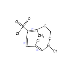 CCN1/C=C(Cl)/C=C\C(S(=O)(=O)Cl)=C(/C)OCC1